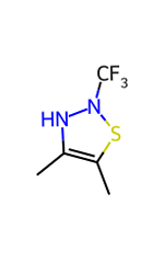 CC1=C(C)SN(C(F)(F)F)N1